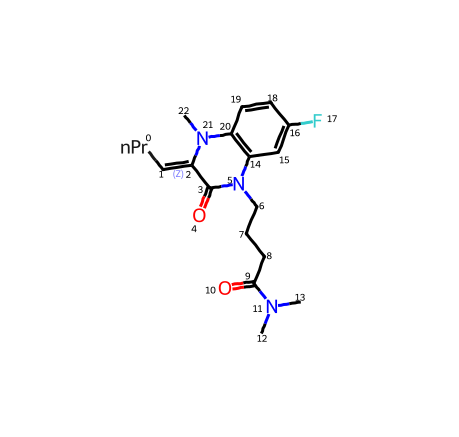 CCC/C=C1/C(=O)N(CCCC(=O)N(C)C)c2cc(F)ccc2N1C